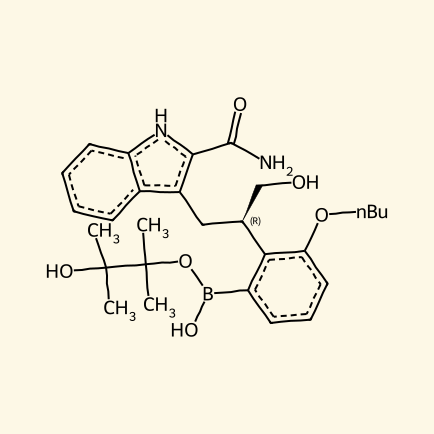 CCCCOc1cccc(B(O)OC(C)(C)C(C)(C)O)c1[C@H](CO)Cc1c(C(N)=O)[nH]c2ccccc12